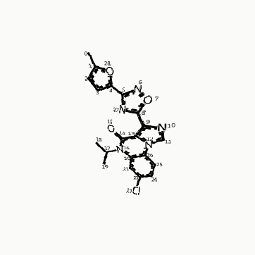 Cc1ccc(-c2noc(-c3ncn4c3c(=O)n(C(C)C)c3cc(Cl)ccc34)n2)o1